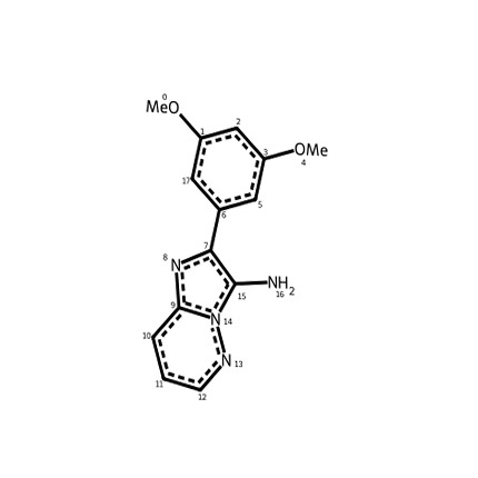 COc1cc(OC)cc(-c2nc3cccnn3c2N)c1